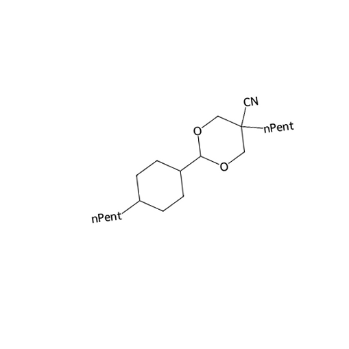 CCCCCC1CCC(C2OCC(C#N)(CCCCC)CO2)CC1